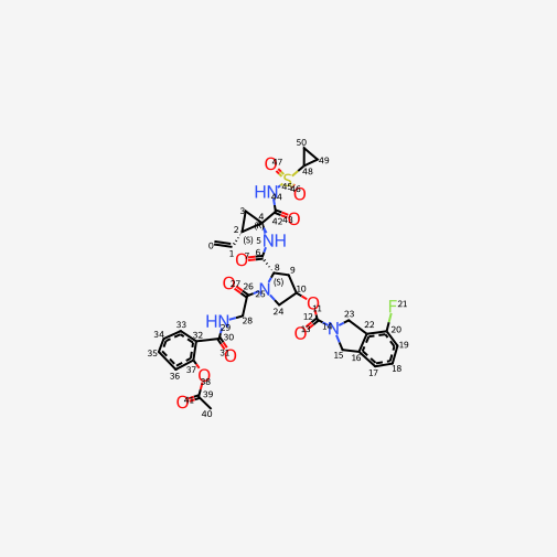 C=C[C@@H]1C[C@]1(NC(=O)[C@@H]1CC(OC(=O)N2Cc3cccc(F)c3C2)CN1C(=O)CNC(=O)c1ccccc1OC(C)=O)C(=O)NS(=O)(=O)C1CC1